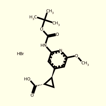 Br.COc1cc([C@H]2C[C@@H]2C(=O)O)cc(NC(=O)OC(C)(C)C)n1